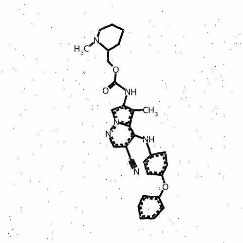 Cc1c(NC(=O)OCC2CCCCN2C)cn2ncc(C#N)c(Nc3ccc(Oc4ccccc4)cc3)c12